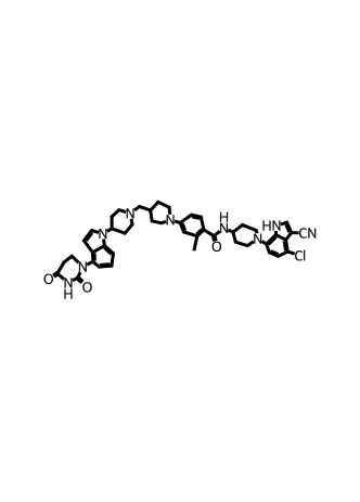 Cc1cc(N2CCC(CN3CCC(n4ccc5c(N6CCC(=O)NC6=O)cccc54)CC3)CC2)ccc1C(=O)NC1CCN(c2ccc(Cl)c3c(C#N)c[nH]c23)CC1